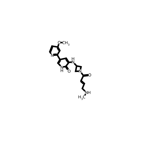 CNCC=CC(=O)N1CC(Nc2cc(-c3cc(OC)ccn3)c[nH]c2=O)C1